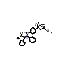 CS(=O)(=O)N(CC(N)=O)c1ccc(N/C(=C2\C(=O)Nc3ccccc32)c2ccccc2)cc1